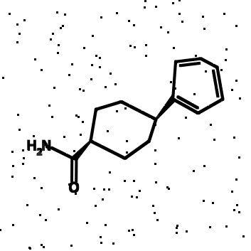 NC(=O)[C@H]1CC[C@@H](c2ccccc2)CC1